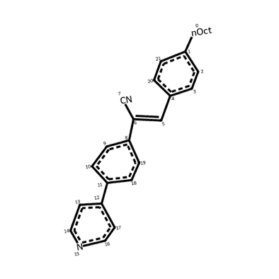 CCCCCCCCc1ccc(/C=C(\C#N)c2ccc(-c3ccncc3)cc2)cc1